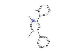 Cc1c[n+](C)c(-c2ccccc2C)cc1-c1ccccc1